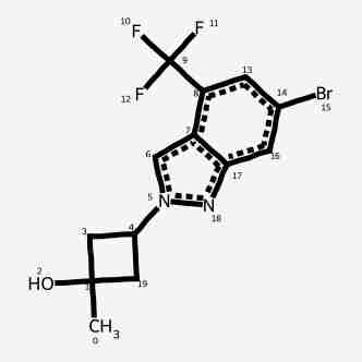 CC1(O)CC(n2cc3c(C(F)(F)F)cc(Br)cc3n2)C1